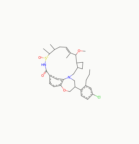 CCCc1cc(Cl)ccc1C1COc2ccc3cc2N(C1)CC1CCC1C(OC)/C(C)=C/CC(C)C(C)[S+]([O-])NC3=O